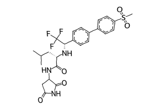 CC(C)C[C@H](N[C@@H](c1ccc(-c2ccc(S(C)(=O)=O)cc2)cc1)C(F)(F)F)C(=O)NC1CC(=O)NC1=O